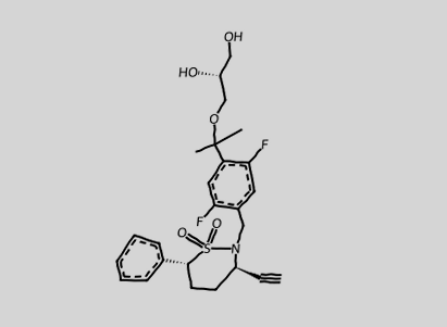 C#C[C@H]1CC[C@H](c2ccccc2)S(=O)(=O)N1Cc1cc(F)c(C(C)(C)OC[C@H](O)CO)cc1F